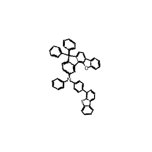 c1ccc(N(c2ccc(-c3cccc4c3sc3ccccc34)cc2)c2ccc3c(c2)-c2c(ccc4c2oc2ccccc24)C3(c2ccccc2)c2ccccc2)cc1